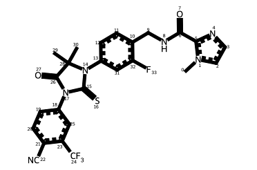 Cn1ccnc1C(=O)NCc1ccc(N2C(=S)N(c3ccc(C#N)c(C(F)(F)F)c3)C(=O)C2(C)C)cc1F